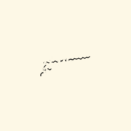 CCCCCCCCCCCCNNCCOC(=O)CCNCCN(C)CCN(OC(=O)CC)OC(=O)CC